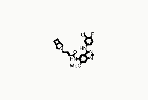 COc1cc2ncnc(Nc3ccc(F)c(Cl)c3)c2cc1NC(=O)C=CCN1CC2CCC2C1